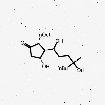 CCCCCCCC[C@H]1C(=O)C[C@@H](O)[C@@H]1C(O)CCC(C)(O)CCCC